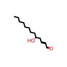 CCCCCCCCC(O)CC=CC=O